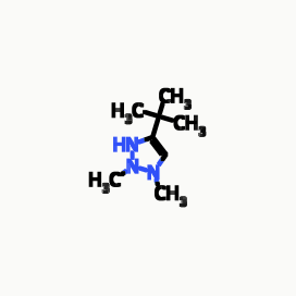 CN1C=C(C(C)(C)C)NN1C